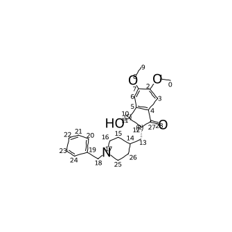 COc1cc2c(cc1OC)[C@@H](O)[C@@H](CC1CCN(Cc3ccccc3)CC1)C2=O